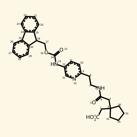 O=C(O)CC1(CC(=O)NCCc2ccc(NC(=O)OCC3c4ccccc4-c4ccccc43)cn2)CCCC1